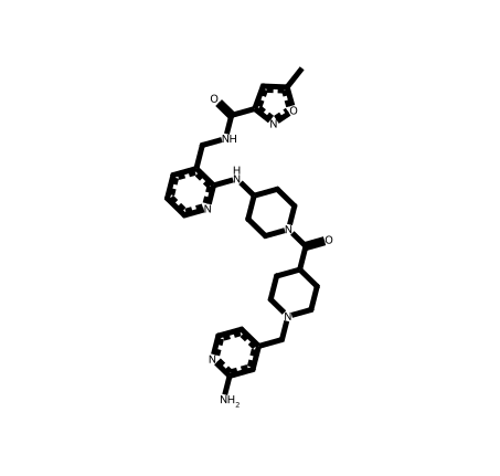 Cc1cc(C(=O)NCc2cccnc2NC2CCN(C(=O)C3CCN(Cc4ccnc(N)c4)CC3)CC2)no1